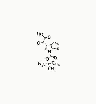 CC(C)(C)OC(=O)n1cc(C(=O)C(=O)O)c2ccsc21